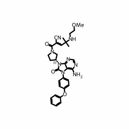 COCCNC(C)(C)C=C(C#N)C(=O)N1CC[C@H](n2c(=O)n(-c3ccc(Oc4ccccc4)cc3)c3c(N)ncnc32)C1